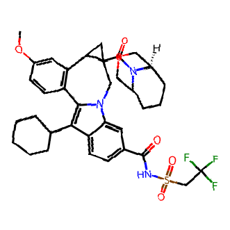 COc1ccc2c(c1)C1CC1(C(=O)N1C3CCC[C@@H]1COC3)Cn1c-2c(C2CCCCC2)c2ccc(C(=O)NS(=O)(=O)CC(F)(F)F)cc21